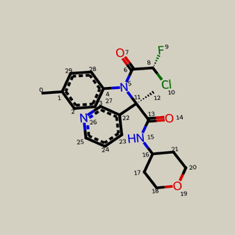 Cc1ccc(N(C(=O)[C@H](F)Cl)[C@@](C)(C(=O)NC2CCOCC2)c2cccnc2)cc1